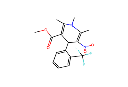 COC(=O)C1=C(C)N(C)C(C)=C([N+](=O)[O-])C1c1ccccc1C(F)(F)F